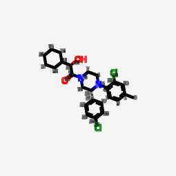 Cc1ccc(N2CCN(C(=O)[C@H](O)C3CCCCC3)C[C@H]2c2ccc(Cl)cc2)c(Cl)c1